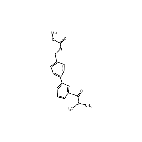 CN(C)C(=O)c1cccc(-c2ccc(CNC(=O)OC(C)(C)C)cc2)c1